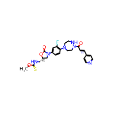 COC(=S)NC[C@H]1CN(c2ccc(N3CCNN(C(=O)/C=C/c4ccncc4)CC3)c(F)c2)C(=O)O1